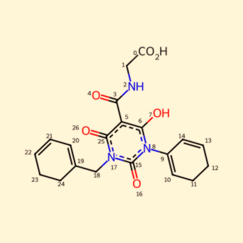 O=C(O)CNC(=O)c1c(O)n(C2=CCCC=C2)c(=O)n(CC2=CC=CCC2)c1=O